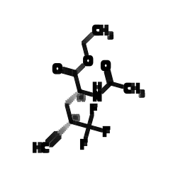 C#C[C@H](C[C@@H](NC(C)=O)C(=O)OCC)C(F)(F)F